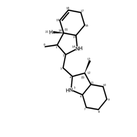 CC1C(CC2NC3CCCCC3[C@@H]2C)NC2CCC=C[C@H]21